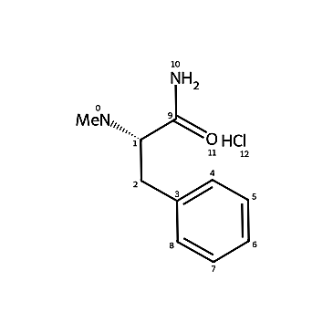 CN[C@@H](Cc1ccccc1)C(N)=O.Cl